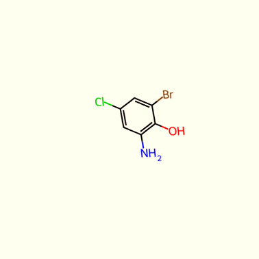 Nc1cc(Cl)cc(Br)c1O